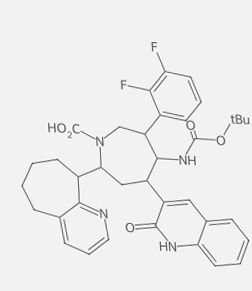 CC(C)(C)OC(=O)NC1C(c2cccc(F)c2F)CN(C(=O)O)C(C2CCCCc3cccnc32)CC1c1cc2ccccc2[nH]c1=O